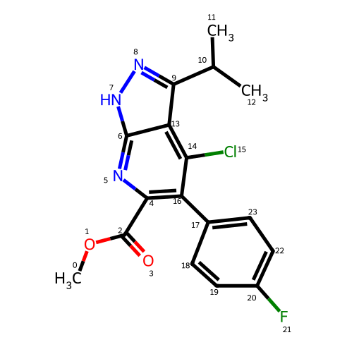 COC(=O)c1nc2[nH]nc(C(C)C)c2c(Cl)c1-c1ccc(F)cc1